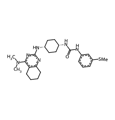 CSc1cccc(NC(=O)N[C@H]2CC[C@@H](Nc3nc4c(c(N(C)C)n3)CCCC4)CC2)c1